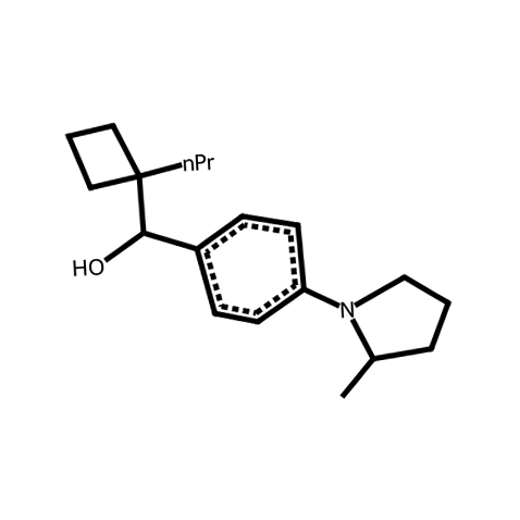 CCCC1(C(O)c2ccc(N3CCCC3C)cc2)CCC1